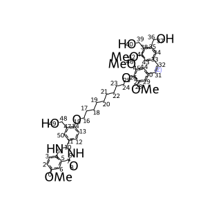 COc1ccc2c(c1)C(=O)NC(c1ccc(OCCCCCCCCCOc3c(OC)cc(/C=C\c4cc(CO)c(CO)c(OC)c4)cc3OC)c(CO)c1)N2